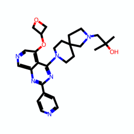 CC(C)(O)CN1CCC2(CCN(c3nc(-c4ccncc4)nc4cncc(OC5COC5)c34)CC2)C1